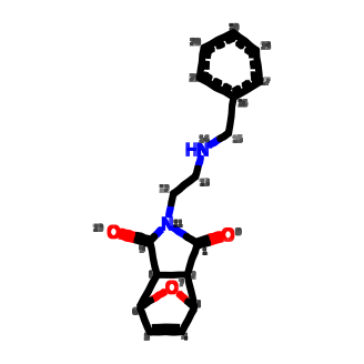 O=C1C2C3C=CC(O3)C2C(=O)N1CCNCc1ccccc1